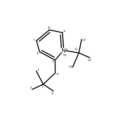 CC(C)(C)Cc1cccc[n+]1C(C)(C)C